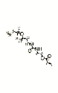 C=CC(=O)OCCNC(=O)OCCC(=O)OC(C)(C)CSC